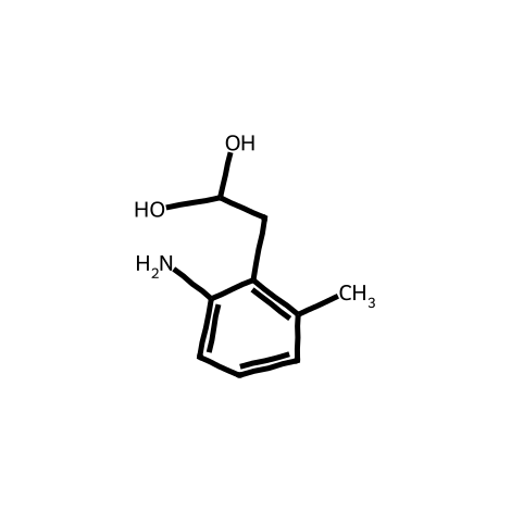 Cc1cccc(N)c1CC(O)O